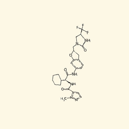 Cn1nccc1C(=O)N[C@H](C(=O)Nc1ccc2c(c1)OC(CN1C[C@@H](C(F)(F)F)NC1=O)C2)C1CCCCC1